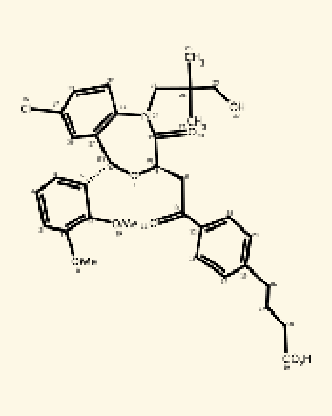 COc1cccc([C@H]2O[C@H](CC(=O)c3ccc(CCCC(=O)O)cc3)C(=O)N(CC(C)(C)CO)c3ccc(Cl)cc32)c1OC